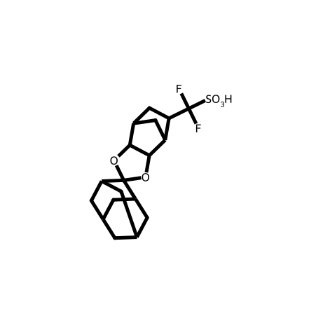 O=S(=O)(O)C(F)(F)C1CC2CC1C1OC3(OC21)C1CC2CC(C1)CC3C2